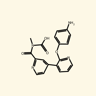 CN(C(=O)O)C(=O)c1cc(-c2cccnc2Oc2ccc(N)cc2)ccn1